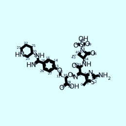 Cc1sc(N)nc1/C(=N/O[C@@H](COc1ccc(C(=N)N[C@H]2CCCNC2)cc1)C(=O)O)C(=O)N[C@@H]1C(=O)N(S(=O)(=O)O)[C@H]1C